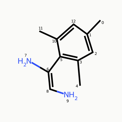 Cc1cc(C)c(/C(N)=C\N)c(C)c1